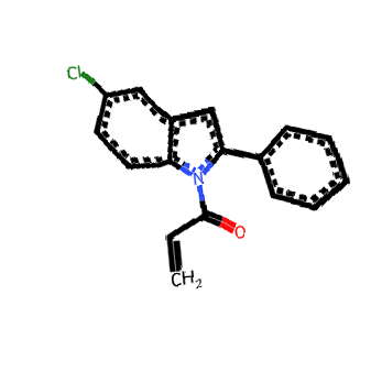 C=CC(=O)n1c(-c2ccccc2)cc2cc(Cl)ccc21